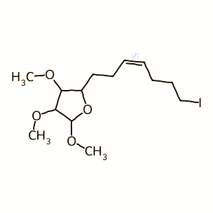 COC1OC(CC/C=C\CCCI)C(OC)C1OC